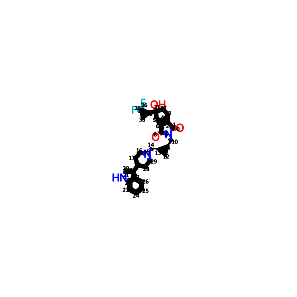 O=C1C2C3CC(C2C(=O)N1C[C@H]1C[C@@H]1CN1CCC(c2c[nH]c4ccccc24)CC1)C(O)(C1CC1(F)F)C3